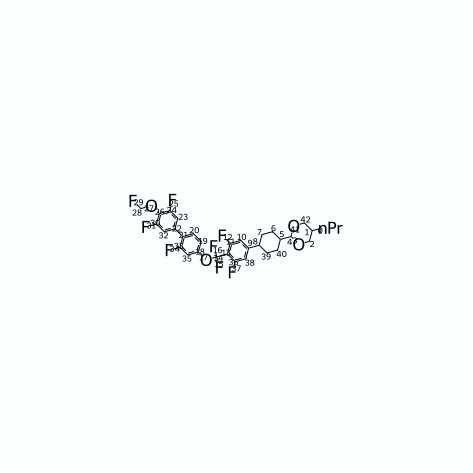 CCCC1COC(C2CCC(c3cc(F)c(C(F)(F)Oc4ccc(-c5cc(F)c(OCF)c(F)c5)c(F)c4)c(F)c3)CC2)OC1